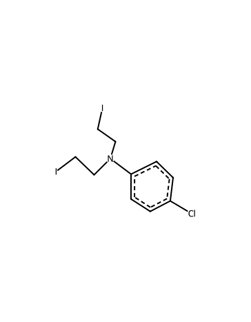 Clc1ccc(N(CCI)CCI)cc1